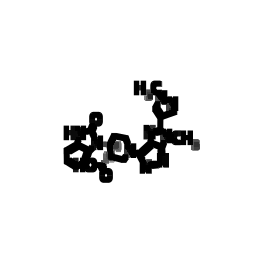 Cn1cc(-c2nc3c(N4CC[C@@H](n5c(=O)[nH]c6ccccc65)[C@@H](C(=O)O)C4)ncnc3n2C)cn1